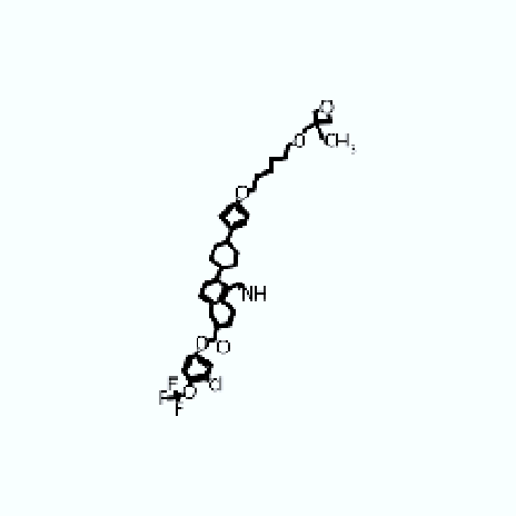 CCC1(COCCCCCCOc2ccc(C3CCC(c4ccc5cc(C(=O)Oc6ccc(OC(F)(F)F)c(Cl)c6)ccc5c4C=N)CC3)cc2)COC1